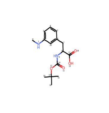 CNc1cccc(CC(NC(=O)OC(C)(C)C)C(=O)O)c1